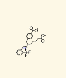 COC(=O)CCCCC(/C=C/c1ccccc1C(F)(F)F)Cc1ccc(C(=O)OC)cc1